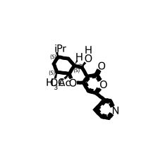 CC(=O)O[C@H]1C[C@@H](C(C)C)C[C@H]2[C@@H](O)c3c(cc(-c4cccnc4)oc3=O)O[C@]12C